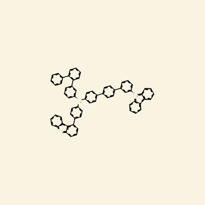 c1ccc(-c2ccccc2-c2cccc(N(c3ccc(-c4ccc(-c5cccc(-n6c7ccccc7c7ccccc76)c5)cc4)cc3)c3ccc(-c4cccc5oc6ccccc6c45)cc3)c2)cc1